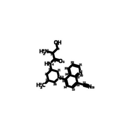 CC1CC(NC(=O)C(N)CO)CN(c2ccc(C#N)c3ncccc23)C1